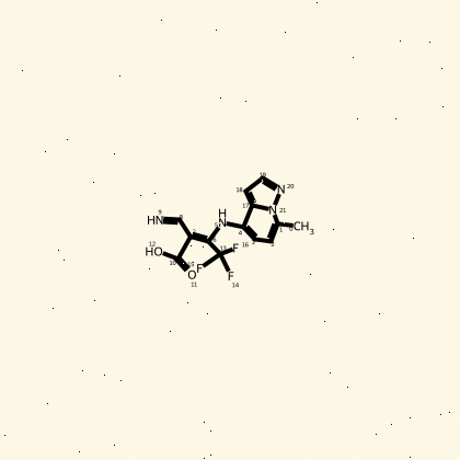 Cc1ccc(N/C(=C(\C=N)C(=O)O)C(F)(F)F)c2ccnn12